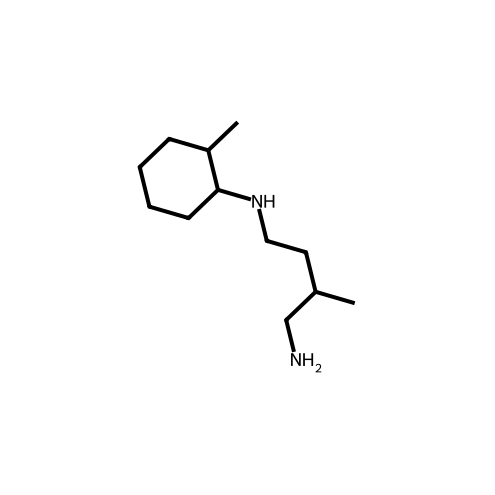 CC(CN)CCNC1CCCCC1C